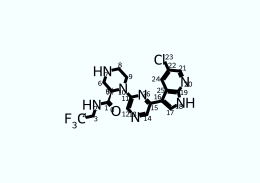 O=C(NCC(F)(F)F)[C@H]1CNCCN1c1cncc(-c2c[nH]c3ncc(Cl)cc23)n1